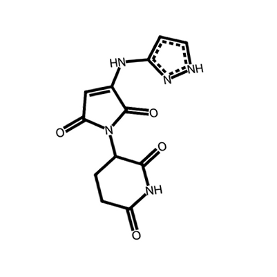 O=C1CCC(N2C(=O)C=C(Nc3cc[nH]n3)C2=O)C(=O)N1